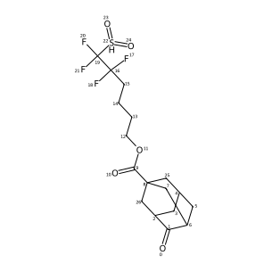 O=C1C2CC3CC1CC(C(=O)OCCCCC(F)(F)C(F)(F)[SH](=O)=O)(C3)C2